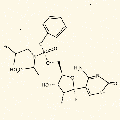 CC(C)C(C)CN(C(C)C(=O)O)[P@@](=O)(OC[C@H]1O[C@@](F)(c2c[nH]c(=O)nc2N)[C@H](C)[C@@H]1O)Oc1ccccc1